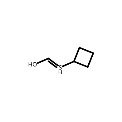 OC=[SH]C1CCC1